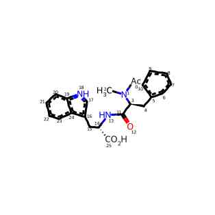 CC(=O)N(C)[C@@H](Cc1ccccc1)C(=O)N[C@@H](Cc1c[nH]c2ccccc12)C(=O)O